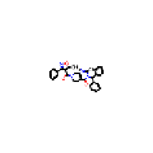 Cc1onc(-c2ccccc2)c1C(=O)N1CCc2c(nc(C)n(C(c3ccccc3)c3ccccc3)c2=O)C1